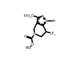 CCOC(=O)c1nn(C(C)C)c2c1CN(C(=O)OC(C)(C)C)CC2C(F)(F)F